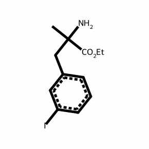 CCOC(=O)C(C)(N)Cc1cccc(I)c1